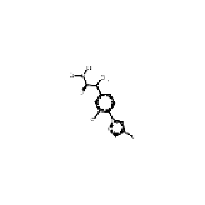 CCN(CC)C(=O)C(C)c1ccc(-n2cc(Cl)cn2)c(Cl)c1